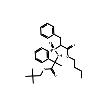 CCCCOC(=O)C(Cc1ccccc1)P(N)(=O)NC(C)(C(=O)OCC(C)(C)C)c1ccccc1